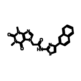 Cn1c(=O)c2c(ncn2CC(=O)Nc2nc(-c3ccc4ccccc4c3)cs2)n(C)c1=O